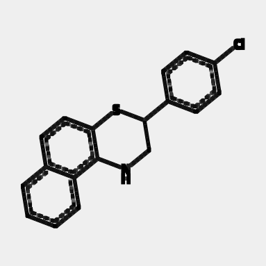 Clc1ccc(C2CNc3c(ccc4ccccc34)S2)cc1